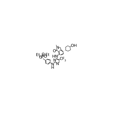 CCOP(=O)(Cc1ccc(Nc2ncc(C(F)(F)F)c(Nc3ccc([C@H]4CC[C@H](O)CC4)c4c3C(=O)N(C)C4)n2)cc1)OCC